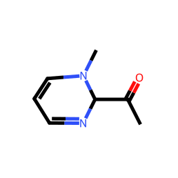 CC(=O)C1N=CC=CN1C